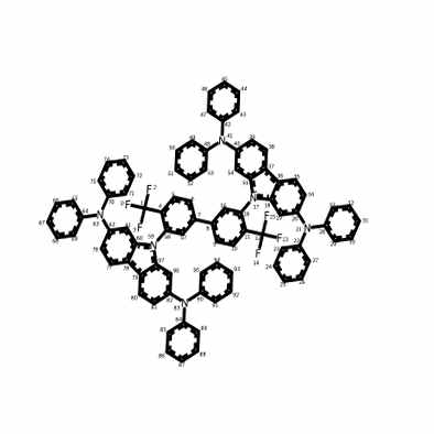 FC(F)(F)c1ccc(-c2ccc(C(F)(F)F)c(-n3c4cc(N(c5ccccc5)c5ccccc5)ccc4c4ccc(N(c5ccccc5)c5ccccc5)cc43)c2)cc1-n1c2cc(N(c3ccccc3)c3ccccc3)ccc2c2ccc(N(c3ccccc3)c3ccccc3)cc21